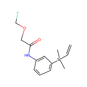 C=C[Si](C)(C)c1cccc(NC(=O)COCF)c1